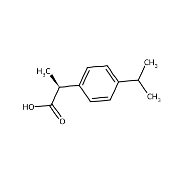 CC(C)c1ccc([C@H](C)C(=O)O)cc1